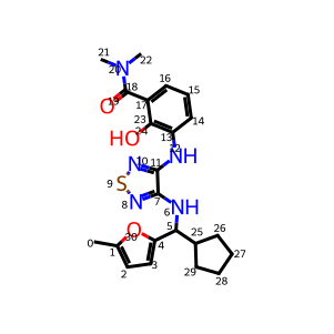 Cc1ccc(C(Nc2nsnc2Nc2cccc(C(=O)N(C)C)c2O)C2CCCC2)o1